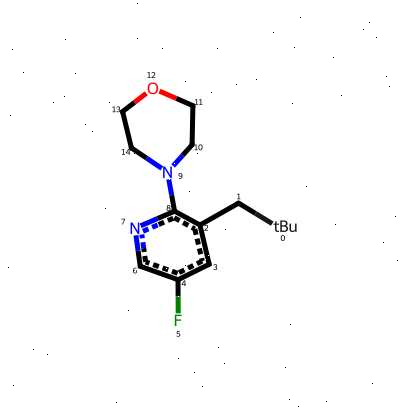 CC(C)(C)Cc1cc(F)cnc1N1CCOCC1